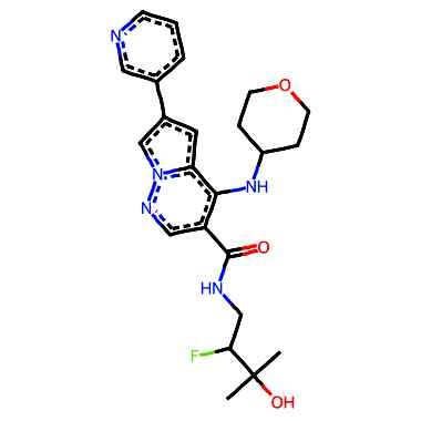 CC(C)(O)C(F)CNC(=O)c1cnn2cc(-c3cccnc3)cc2c1NC1CCOCC1